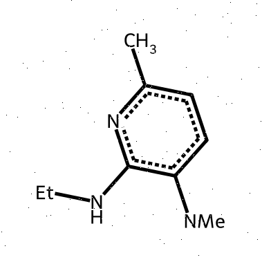 CCNc1nc(C)ccc1NC